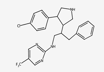 FC(F)(F)c1cnc(NCC(Cc2ccccc2)C2CNCC2c2ccc(Cl)cc2)nc1